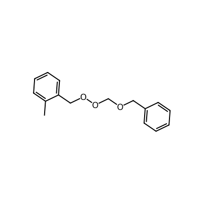 Cc1ccccc1COOCOCc1ccccc1